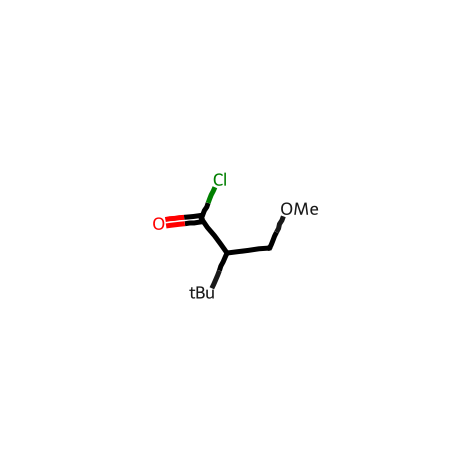 COCC(C(=O)Cl)C(C)(C)C